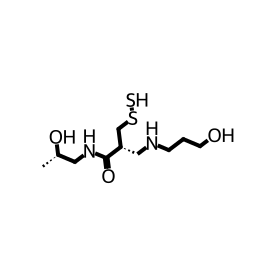 C[C@H](O)CNC(=O)[C@@H](CNCCCO)CSS